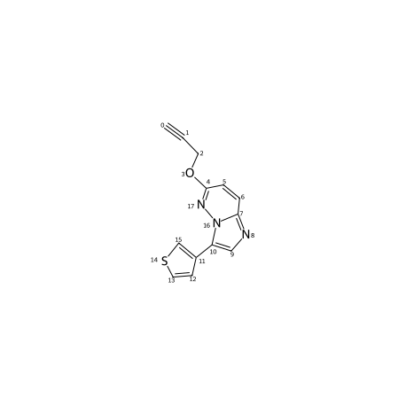 C#CCOc1ccc2ncc(-c3ccsc3)n2n1